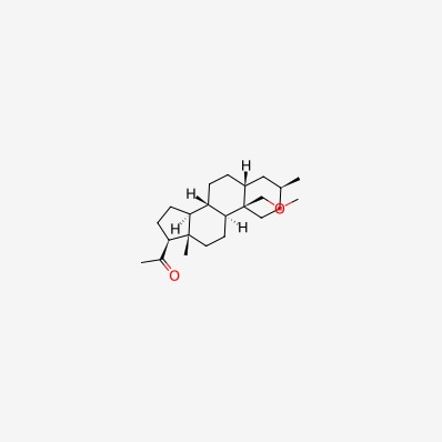 COC[C@]12CC[C@H](C)C[C@H]1CC[C@H]1[C@@H]3CC[C@H](C(C)=O)[C@@]3(C)CC[C@@H]12